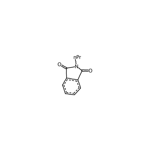 C[CH]CN1C(=O)c2ccccc2C1=O